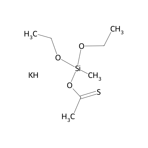 CCO[Si](C)(OCC)OC(C)=S.[KH]